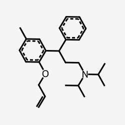 C=CCOc1ccc(C)cc1C(CCN(C(C)C)C(C)C)c1ccccc1